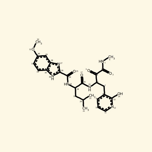 CNC(=O)C(=O)C(Cc1cccnc1O)NC(=O)C(CC(C)C)NC(=O)c1nc2cc(OC)ccc2[nH]1